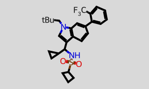 CC(C)(C)Cn1cc(C(NS(=O)(=O)C2CCC2)C2CC2)c2ccc(-c3ccccc3C(F)(F)F)cc21